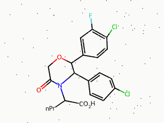 CCCC(C(=O)O)N1C(=O)COC(c2ccc(Cl)c(F)c2)C1c1ccc(Cl)cc1